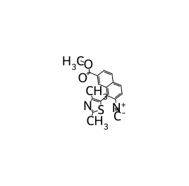 [C-]#[N+]c1ccc2ccc(C(=O)OC)cc2c1-c1sc(C)nc1C